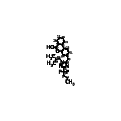 CCCC(F)(F)c1nc(Cc2ccc(-c3ccccc3C(=O)O)cc2)n(CC(C)C)n1